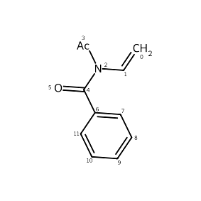 C=CN(C(C)=O)C(=O)c1ccccc1